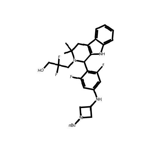 CCCCN1CC(Nc2cc(F)c(C3c4[nH]c5ccccc5c4CC(C)(C)N3CC(F)(F)CO)c(F)c2)C1